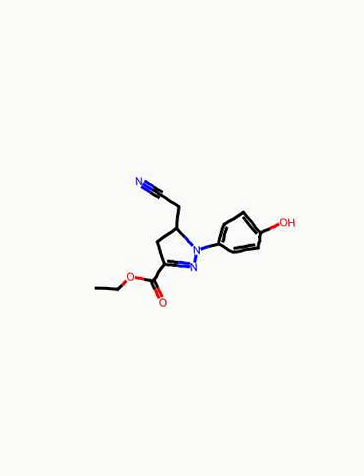 CCOC(=O)C1=NN(c2ccc(O)cc2)C(CC#N)C1